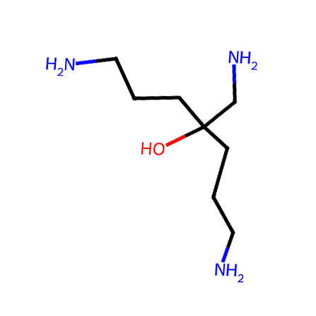 NCCCC(O)(CN)CCCN